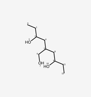 CCC(O)C[C](CO)CC(O)CC